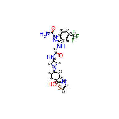 NC(=O)n1nc(NCC(=O)NC2CN(C3CCC(O)(c4nccs4)CC3)C2)c2cc(C(F)(F)F)ccc21